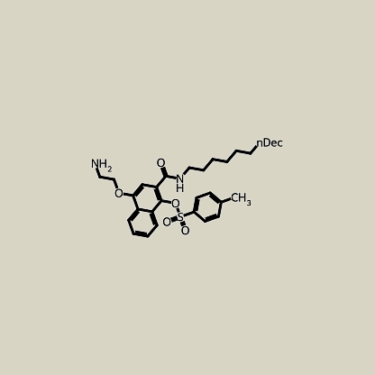 CCCCCCCCCCCCCCCCNC(=O)c1cc(OCCN)c2ccccc2c1OS(=O)(=O)c1ccc(C)cc1